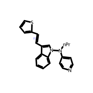 CCCN(c1ccncc1)n1cc(/C=C/c2cccs2)c2ccccc21